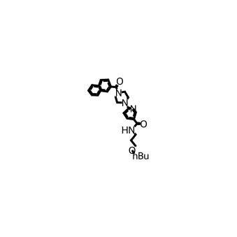 CCCCOCCCNC(=O)c1ccc(N2CCN(C(=O)c3ccc4ccccc4c3)CC2)nc1